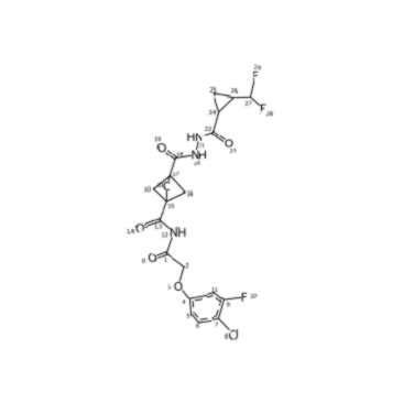 O=C(COc1ccc(Cl)c(F)c1)NC(=O)C12CC(C(=O)NNC(=O)C3CC3C(F)F)(C1)C2